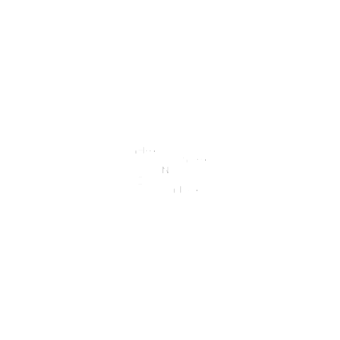 CCCCCC[N+](CC)(CCCCCC)CCCCCC